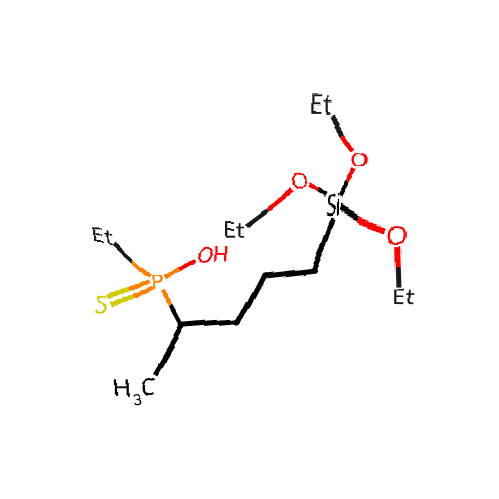 CCO[Si](CCCC(C)P(O)(=S)CC)(OCC)OCC